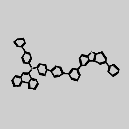 c1ccc(-c2ccc(N(c3ccc(-c4ccc(-c5cccc(-c6ccc7sc8ccc(-c9ccccc9)cc8c7c6)c5)cc4)cc3)c3cc4ccccc4c4ccccc34)cc2)cc1